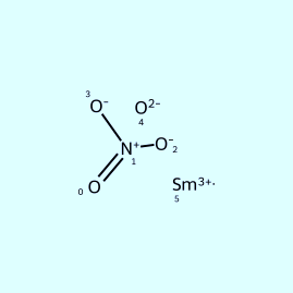 O=[N+]([O-])[O-].[O-2].[Sm+3]